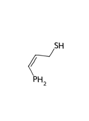 P/C=C\CS